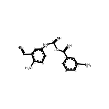 N=Cc1cc(NC(=N)OC(=N)c2cccc(N)c2)ccc1N